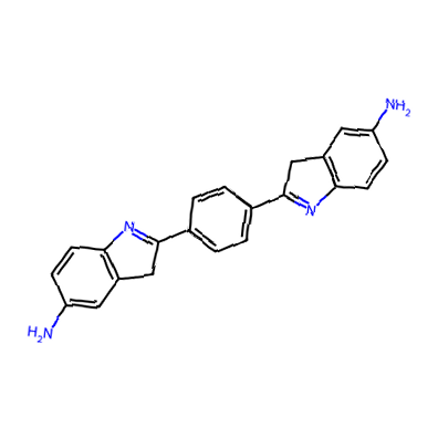 Nc1ccc2c(c1)CC(c1ccc(C3=Nc4ccc(N)cc4C3)cc1)=N2